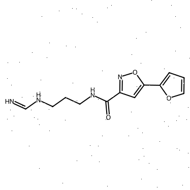 N=CNCCCNC(=O)c1cc(-c2ccco2)on1